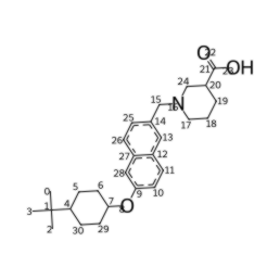 CC(C)(C)C1CCC(Oc2ccc3cc(CN4CCCC(C(=O)O)C4)ccc3c2)CC1